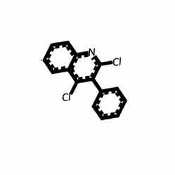 Clc1nc2cc[c]cc2c(Cl)c1-c1ccccc1